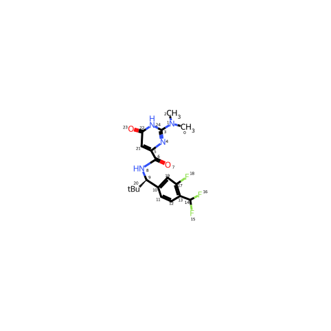 CN(C)c1nc(C(=O)N[C@@H](c2ccc(C(F)F)c(F)c2)C(C)(C)C)cc(=O)[nH]1